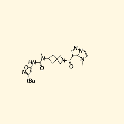 CN(C(=O)Nc1cc(C(C)(C)C)no1)C1CC2(C1)CN(C(=O)c1cnn3ccn(C)c13)C2